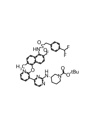 Cc1ccc2c(NS(=O)(=O)Cc3ccc(C(F)F)cc3)c(F)ccc2c1Oc1ncccc1-c1ccnc(N[C@H]2CCCN(C(=O)OC(C)(C)C)C2)n1